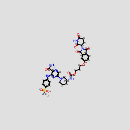 CS(=O)(=O)c1ccc(Nc2nc(N3CCC[C@@H](NC(=O)OCCCOc4ccc5c(c4)C(=O)N(C4CCC(=O)NC4=O)C5=O)C3)cnc2C(N)=O)cc1